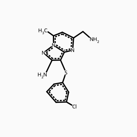 Cc1cc(CN)nc2c(Sc3cccc(Cl)c3)c(N)nn12